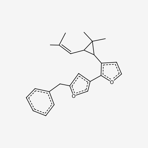 CC(C)=CC1C(c2ccoc2-c2coc(Cc3ccccc3)c2)C1(C)C